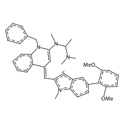 COc1cccc(OC)c1-c1ccc2c(c1)sc(C=C1C=C(N(C)C(C)N(C)C)N(Cc3ccccc3)c3ccccc31)[n+]2C